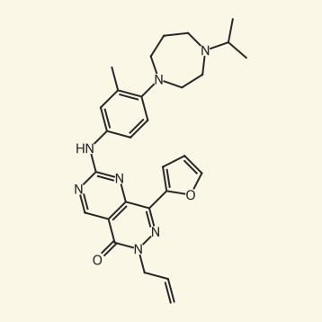 C=CCn1nc(-c2ccco2)c2nc(Nc3ccc(N4CCCN(C(C)C)CC4)c(C)c3)ncc2c1=O